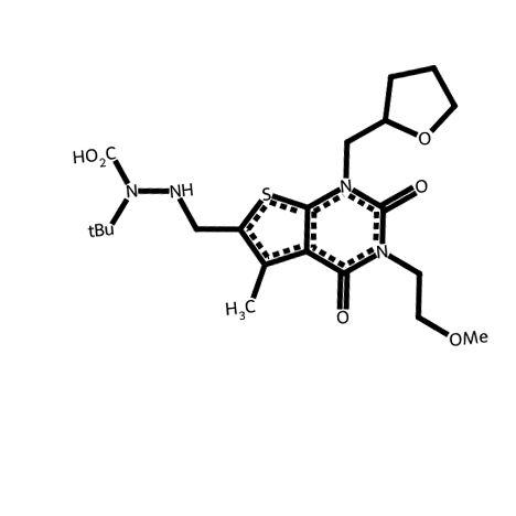 COCCn1c(=O)c2c(C)c(CNN(C(=O)O)C(C)(C)C)sc2n(CC2CCCO2)c1=O